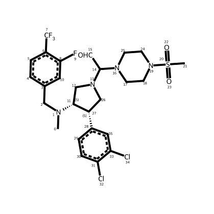 CN(Cc1ccc(C(F)(F)F)c(F)c1)[C@@H]1CN(C(C=O)N2CCN(S(C)(=O)=O)CC2)C[C@@H]1c1ccc(Cl)c(Cl)c1